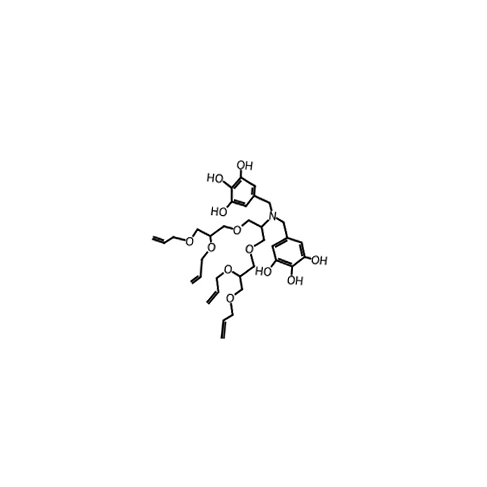 C=CCOCC(COCC(COCC(COCC=C)OCC=C)N(Cc1cc(O)c(O)c(O)c1)Cc1cc(O)c(O)c(O)c1)OCC=C